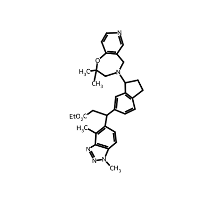 CCOC(=O)CC(c1ccc2c(c1)C(N1Cc3cnccc3OC(C)(C)C1)CC2)c1ccc2c(nnn2C)c1C